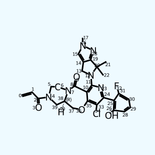 C=CC(=O)N1CCN2C(=O)c3c(N4Cc5cn(C)nc5C4(C)C)nc(-c4c(O)cccc4F)c(Cl)c3OC[C@H]2C1